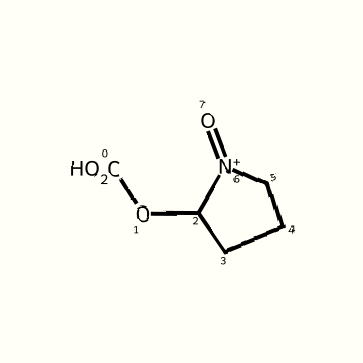 O=C(O)OC1CCC[N+]1=O